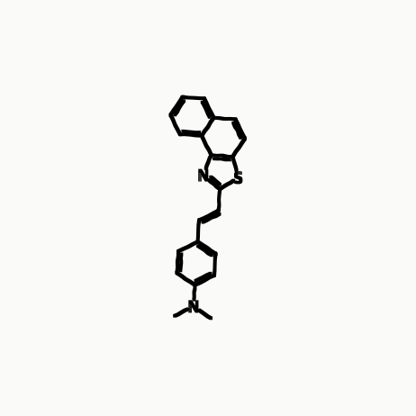 CN(C)c1ccc(C=Cc2nc3c(ccc4ccccc43)s2)cc1